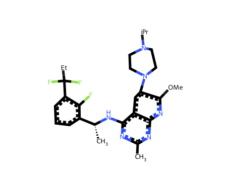 CCC(F)(F)c1cccc([C@@H](C)Nc2nc(C)nc3nc(OC)c(N4CCN(C(C)C)CC4)cc23)c1F